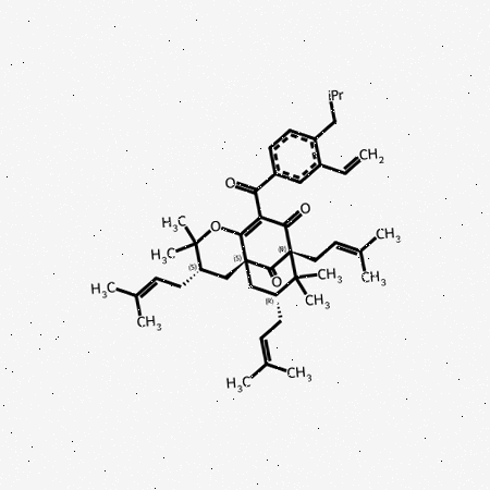 C=Cc1cc(C(=O)C2=C3OC(C)(C)[C@@H](CC=C(C)C)C[C@@]34C[C@@H](CC=C(C)C)C(C)(C)[C@@](CC=C(C)C)(C2=O)C4=O)ccc1CC(C)C